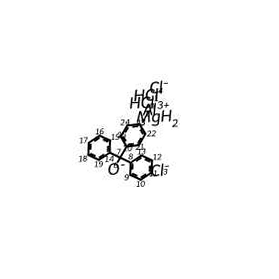 Cl.Cl.[Al+3].[Cl-].[Cl-].[MgH2].[O-]C(c1ccccc1)(c1ccccc1)c1ccccc1